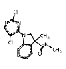 CNC(=O)C1(C)CN(c2nc(Cl)ncc2Cl)c2ccccc21